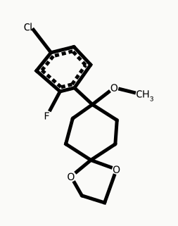 COC1(c2ccc(Cl)cc2F)CCC2(CC1)OCCO2